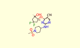 C[C@@]1(O)CC(F)(F)C[C@@H]1Oc1nc(NC2CCN(S(C)(=O)=O)CC2)ncc1C#N